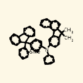 CSc1ccccc1C1(c2ccc(N(c3ccccc3)c3ccc4c(c3)-c3c(ccc5ccccc35)C4(C)C)cc2)c2ccccc2-c2ccccc21